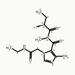 CCNC(=O)Cn1cnc(C)c1C(=O)N(C)C(=O)[C@@H](I)CC